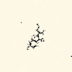 CC/C=C(\CC)n1sc2cc(C)ccc2c1=O